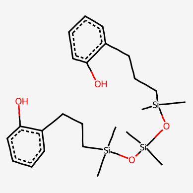 C[Si](C)(CCCc1ccccc1O)O[Si](C)(C)O[Si](C)(C)CCCc1ccccc1O